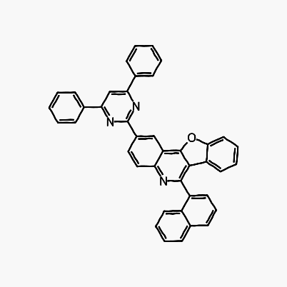 c1ccc(-c2cc(-c3ccccc3)nc(-c3ccc4nc(-c5cccc6ccccc56)c5c6ccccc6oc5c4c3)n2)cc1